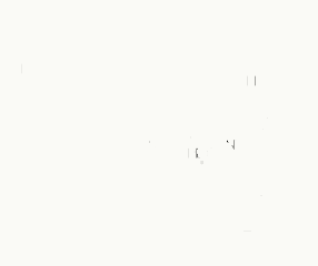 Cc1cccc(S[C@@H]2C[C@H]3CC[C@@H](C2)N3C)c1